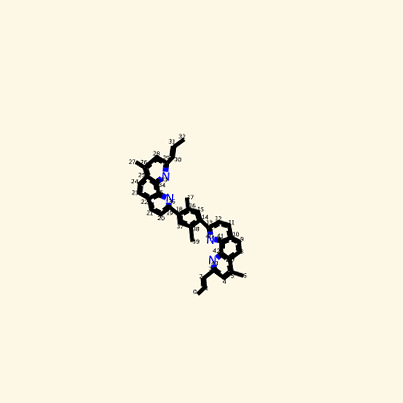 C/C=C/c1cc(C)c2ccc3ccc(-c4cc(C)c(-c5ccc6ccc7c(C)cc(/C=C/C)nc7c6n5)cc4C)nc3c2n1